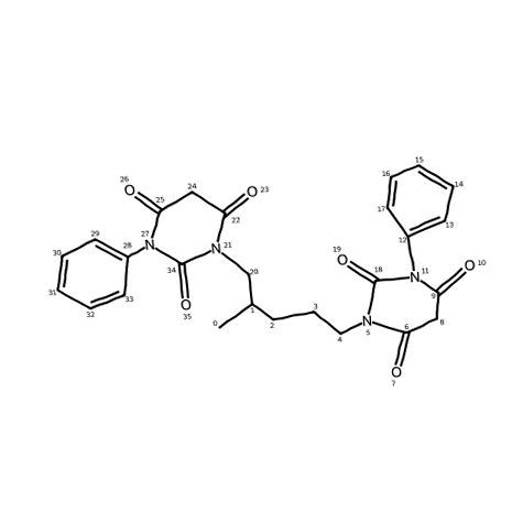 CC(CCCN1C(=O)CC(=O)N(c2ccccc2)C1=O)CN1C(=O)CC(=O)N(c2ccccc2)C1=O